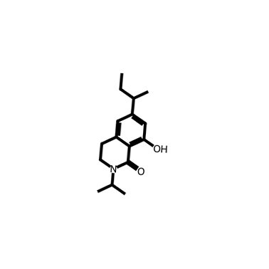 CCC(C)c1cc(O)c2c(c1)CCN(C(C)C)C2=O